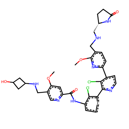 COc1cc(C(=O)Nc2cccc(-c3nccc(-c4ccc(CNC[C@@H]5CCC(=O)N5)c(OC)n4)c3Cl)c2Cl)ncc1CNC1CC(O)C1